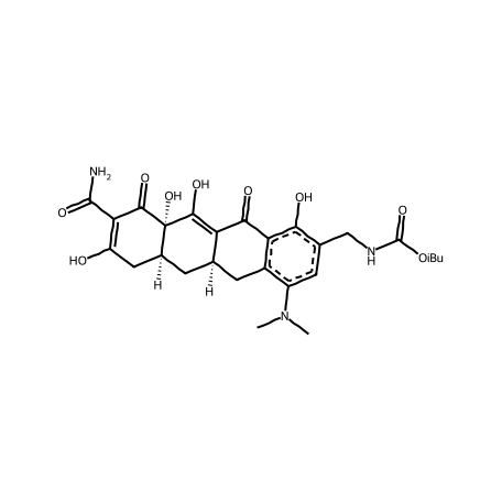 CC(C)COC(=O)NCc1cc(N(C)C)c2c(c1O)C(=O)C1=C(O)[C@]3(O)C(=O)C(C(N)=O)=C(O)C[C@@H]3C[C@@H]1C2